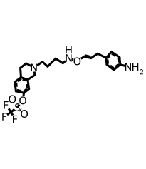 Nc1ccc(C/C=C/ONCCCCN2CCc3ccc(OS(=O)(=O)C(F)(F)F)cc3C2)cc1